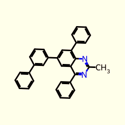 Cc1nc(-c2ccccc2)c2cc(-c3cccc(-c4ccccc4)c3)cc(-c3ccccc3)c2n1